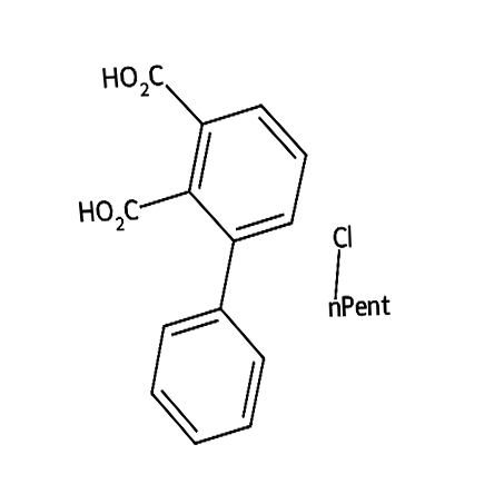 CCCCCCl.O=C(O)c1cccc(-c2ccccc2)c1C(=O)O